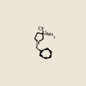 NC1(C(F)(F)F)CCN(Cc2ccccc2)C1